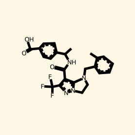 Cc1ccccc1CN1CCn2nc(C(F)(F)F)c(C(=O)NC(C)c3ccc(C(=O)O)cc3)c21